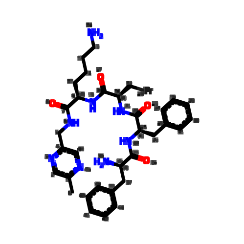 Cc1cnc(CNC(=O)[C@@H](CCCCN)NC(=O)[C@@H](CC(C)C)NC(=O)[C@@H](Cc2ccccc2)NC(=O)[C@H](N)Cc2ccccc2)cn1